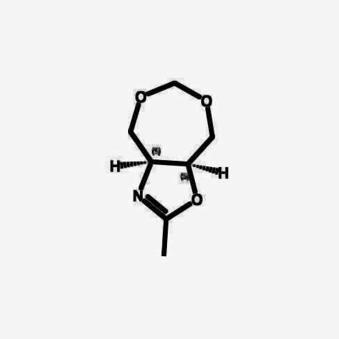 CC1=N[C@H]2COCOC[C@H]2O1